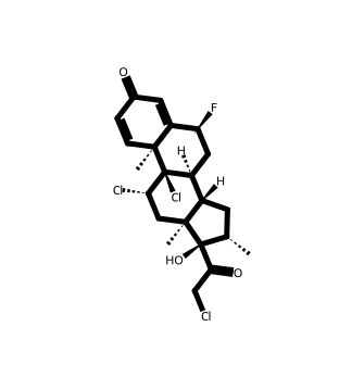 C[C@H]1C[C@H]2[C@@H]3C[C@H](F)C4=CC(=O)C=C[C@]4(C)[C@@]3(Cl)[C@@H](Cl)C[C@]2(C)[C@@]1(O)C(=O)CCl